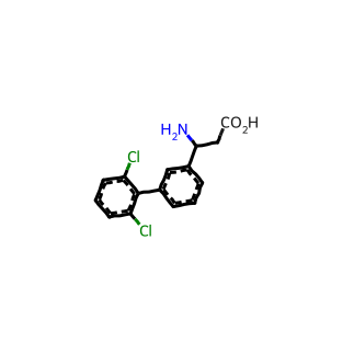 NC(CC(=O)O)c1cccc(-c2c(Cl)cccc2Cl)c1